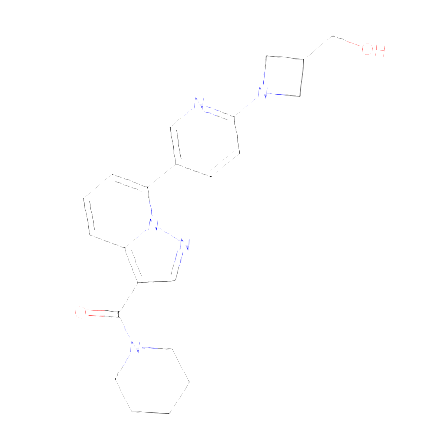 O=C(c1cnn2c(-c3ccc(N4CC(CO)C4)nc3)cccc12)N1CCCCC1